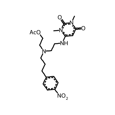 CC(=O)OCCN(CCCc1ccc([N+](=O)[O-])cc1)CCNc1cc(=O)n(C)c(=O)n1C